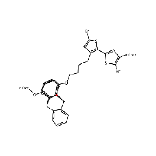 CCCCCCCCOc1ccc(OCCCCc2cc(Br)sc2-c2cc(CCCCCC)c(Br)s2)c2c1C1c3ccccc3C2c2ccccc21